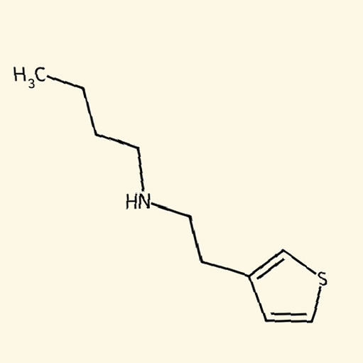 CCCCNCCc1ccsc1